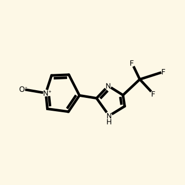 [O-][n+]1ccc(-c2nc(C(F)(F)F)c[nH]2)cc1